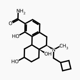 CN(CC1CCC1)[C@@H]1Cc2ccc(C(N)=O)c(O)c2C2CC(O)CC[C@]21O